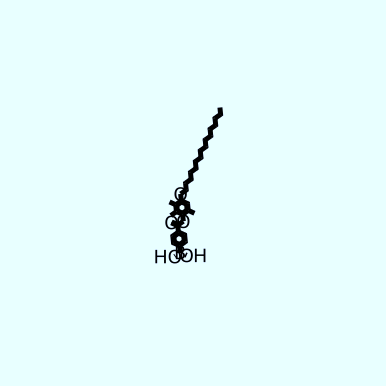 CCCCCCCCCCCCCCCCOc1cc(C)c(OC(=O)c2ccc(B(O)O)cc2)c(C)c1C